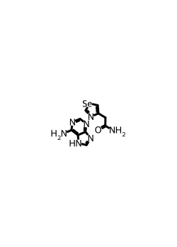 NC(=O)Cc1c[se]cn1.Nc1ncnc2nc[nH]c12